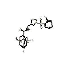 C[C@]12C[C@@H]3C[C@@H](CC(C(=O)NCC4CCN(S(=O)(=O)c5ccccc5C(F)(F)F)C4)(C3)C1)C2